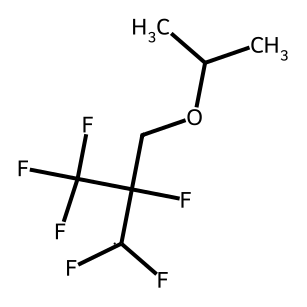 CC(C)OCC(F)([C](F)F)C(F)(F)F